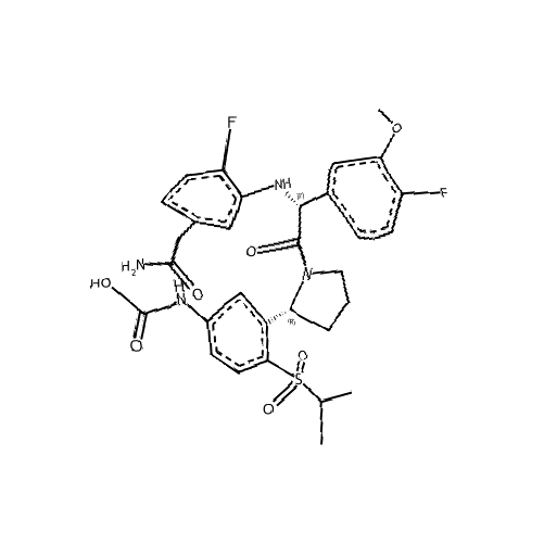 COc1cc([C@@H](Nc2cc(C(N)=O)ccc2F)C(=O)N2CCC[C@@H]2c2cc(NC(=O)O)ccc2S(=O)(=O)C(C)C)ccc1F